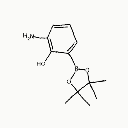 CC1(C)OB(c2cccc(N)c2O)OC1(C)C